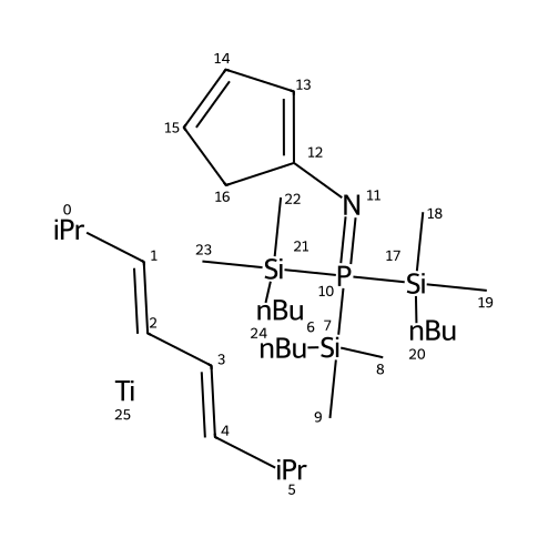 CC(C)C=CC=CC(C)C.CCCC[Si](C)(C)P(=NC1=CC=CC1)([Si](C)(C)CCCC)[Si](C)(C)CCCC.[Ti]